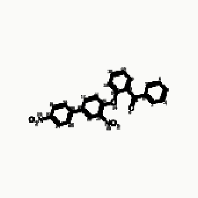 O=C(c1ccccc1)c1ccccc1Oc1ccc(-c2ccc([N+](=O)[O-])cc2)cc1[N+](=O)[O-]